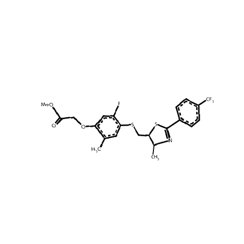 COC(=O)COc1cc(F)c(SCC2SC(c3ccc(C(F)(F)F)cc3)=NC2C)cc1C